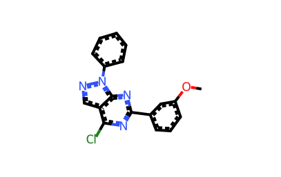 COc1cccc(-c2nc(Cl)c3cnn(-c4ccccc4)c3n2)c1